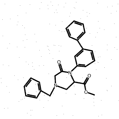 COC(=O)C1CN(Cc2ccccc2)CC(=O)N1c1cccc(-c2ccccc2)c1